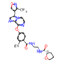 CCc1cc(Oc2nccn3c(-c4conc4C(F)(F)F)cnc23)ccc1C(=O)NCCNC(=O)[C@@H]1CCCO1